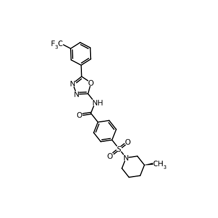 C[C@H]1CCCN(S(=O)(=O)c2ccc(C(=O)Nc3nnc(-c4cccc(C(F)(F)F)c4)o3)cc2)C1